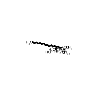 CCCCCCCCCCCCCCC(CCC[Si](OC)(OC)OC)C(C)(C)N.Cl